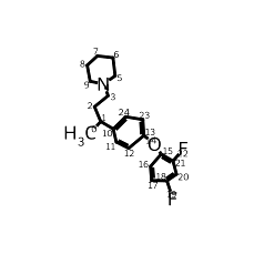 CC(CCN1CCCCC1)c1ccc(Oc2ccc(F)cc2F)cc1